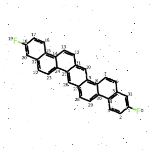 Fc1ccc2c(ccc3c4cc5ccc6c7ccc(F)cc7ccc6c5cc4ccc23)c1